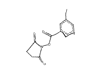 O=C(ON1C(=O)CCC1=O)c1cncc(I)c1